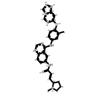 Cc1cc(Nc2ncnc3ccc(NC(=O)/C=C/C4CCCN4C)cc23)ccc1Oc1cc2nncn2cn1